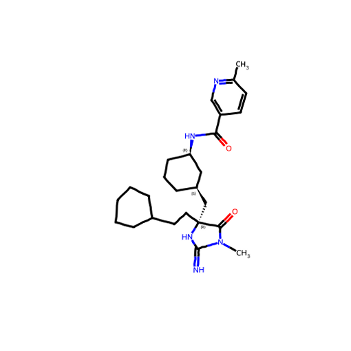 Cc1ccc(C(=O)N[C@@H]2CCC[C@H](C[C@@]3(CCC4CCCCC4)NC(=N)N(C)C3=O)C2)cn1